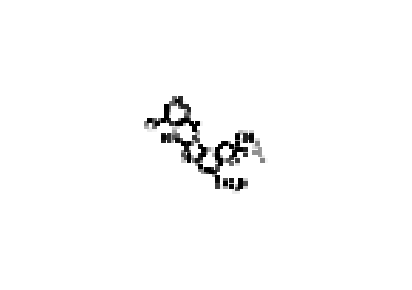 CC1(C)Cc2c(c(C(=O)O)cc3nc(Nc4c(Cl)cncc4Cl)sc23)O1